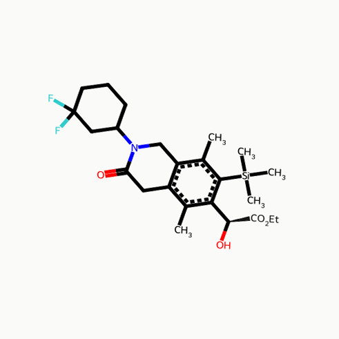 CCOC(=O)[C@@H](O)c1c(C)c2c(c(C)c1[Si](C)(C)C)CN(C1CCCC(F)(F)C1)C(=O)C2